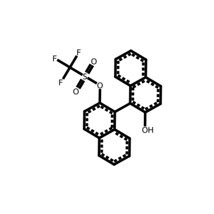 O=S(=O)(Oc1ccc2ccccc2c1-c1c(O)ccc2ccccc12)C(F)(F)F